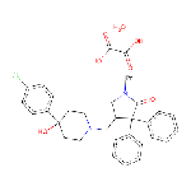 CC(C)N1CC(CN2CCC(O)(c3ccc(Cl)cc3)CC2)C(c2ccccc2)(c2ccccc2)C1=O.O.O=C(O)C(=O)O